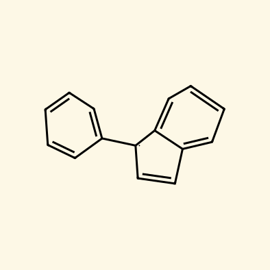 C1=Cc2ccccc2[C]1c1ccccc1